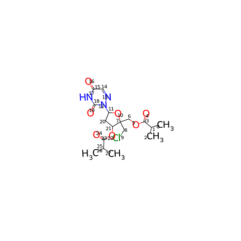 CC(C)C(=O)OCC1(CCl)OC(n2ncc(=O)[nH]c2=O)CC1OC(=O)C(C)C